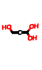 OC=C=C(O)O